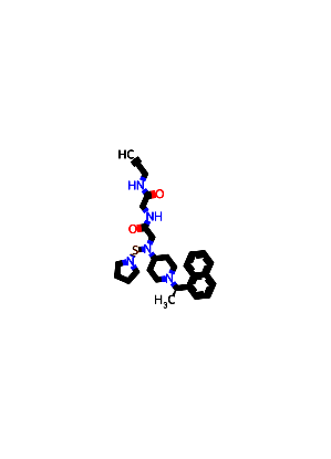 C#CCNC(=O)CNC(=O)CN(SN1CCCC1)C1CCN([C@@H](C)c2cccc3ccccc23)CC1